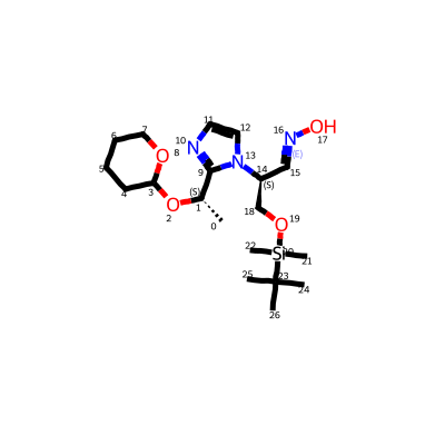 C[C@H](OC1CCCCO1)c1nccn1[C@@H](/C=N/O)CO[Si](C)(C)C(C)(C)C